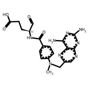 CN(Cc1cnc2nc(N)nc(N)c2n1)c1ccc(C(=O)N[C@H](C=O)CCC(=O)O)cc1